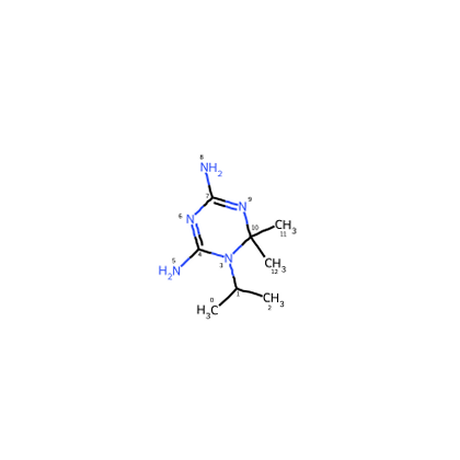 CC(C)N1C(N)=NC(N)=NC1(C)C